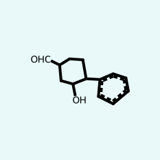 O=CC1CCC(c2ccccc2)C(O)C1